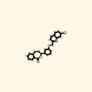 O=C1OC(c2cccc(OCc3ccc4ccc(Cl)cc4n3)c2)CCc2ccccc21